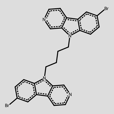 Brc1ccc2c(c1)c1ccncc1n2CCCCn1c2ccc(Br)cc2c2ccncc21